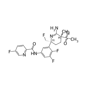 C[C@@]1(S(C)(=O)=O)CC[C@@](CF)(c2cc(NC(=O)c3ccc(F)cn3)cc(F)c2F)N=C1N